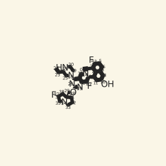 C#Cc1c(F)ccc2cc(O)cc(-c3ncc4c(N5CCNC(C=C)C5)nc(OC[C@@]56CCCN5C[C@H](F)C6)nc4c3F)c12